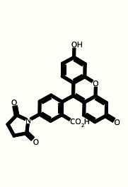 O=C(O)c1cc(N2C(=O)CCC2=O)ccc1-c1c2ccc(=O)cc-2oc2cc(O)ccc12